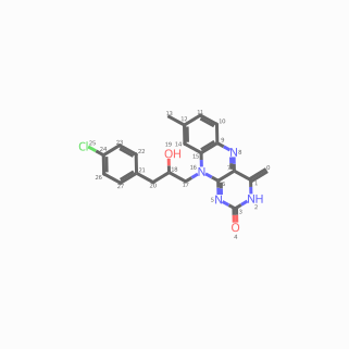 C=c1[nH]c(=O)nc2c1=Nc1ccc(C)cc1N2CC(O)Cc1ccc(Cl)cc1